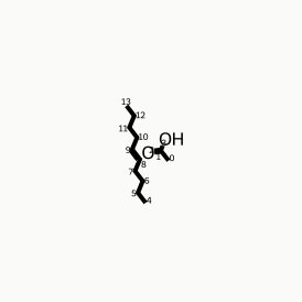 CC(=O)O.CCCCC=CCCCC